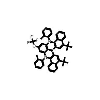 Cc1ccccc1N1c2cc(OC(F)(F)F)cc3c2B(c2cc(C(C)(C)C)c4ccccc4c21)c1cc(C(C)(C)C)c2ccccc2c1N3c1ccccc1C